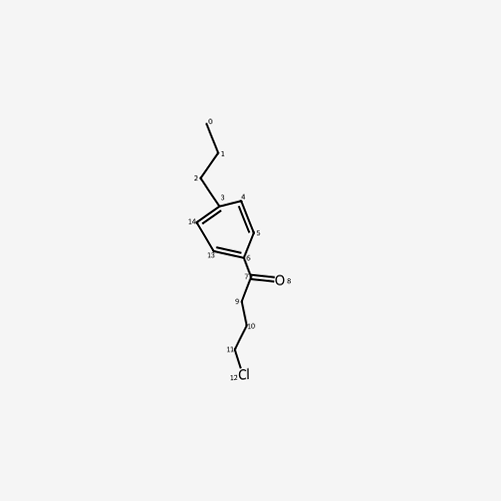 CCCc1ccc(C(=O)CCCCl)cc1